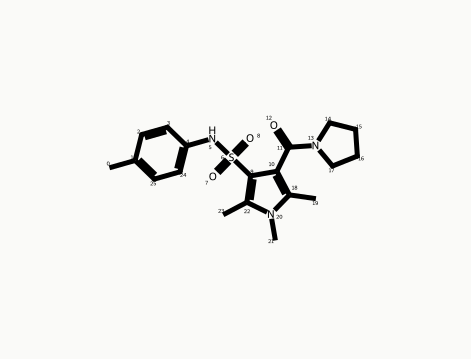 Cc1ccc(NS(=O)(=O)c2c(C(=O)N3CCCC3)c(C)n(C)c2C)cc1